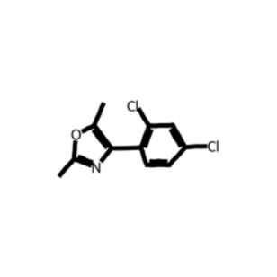 Cc1nc(-c2ccc(Cl)cc2Cl)c(C)o1